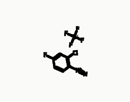 F[B-](F)(F)F.N#[N+]c1ccc(F)cc1Cl